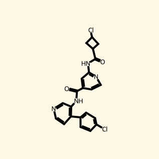 O=C(Nc1cnccc1-c1ccc(Cl)cc1)c1ccnc(NC(=O)C2CC(Cl)C2)c1